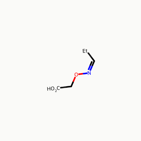 CC/C=N\OCC(=O)O